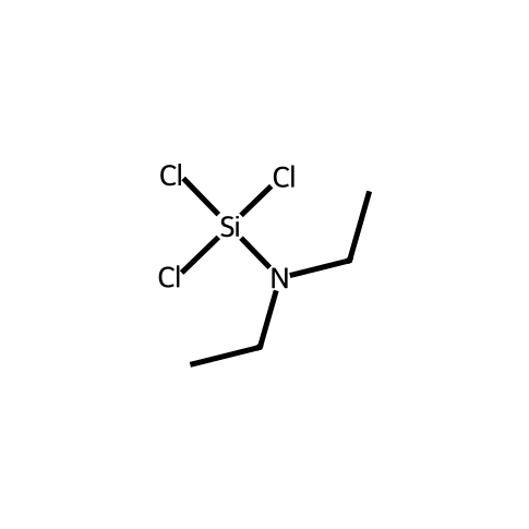 CCN(CC)[Si](Cl)(Cl)Cl